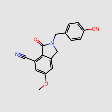 COc1cc(C#N)c2c(c1)CN(Cc1ccc(O)cc1)C2=O